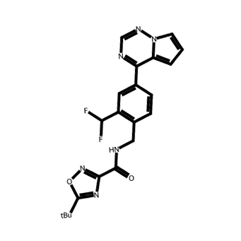 CC(C)(C)c1nc(C(=O)NCc2ccc(-c3ncnn4cccc34)cc2C(F)F)no1